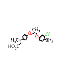 Bc1ccc(OCC(C)COc2ccc(C(C)CC(=O)O)cc2)cc1Cl